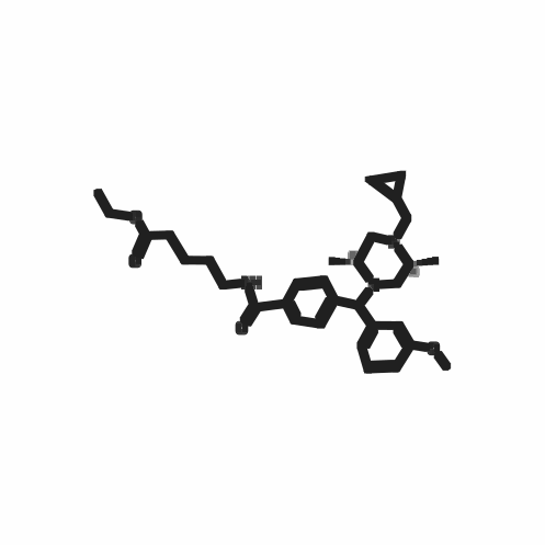 CCOC(=O)CCCCNC(=O)c1ccc(C(c2cccc(OC)c2)N2C[C@@H](C)N(CC3CC3)C[C@H]2C)cc1